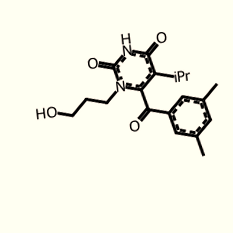 Cc1cc(C)cc(C(=O)c2c(C(C)C)c(=O)[nH]c(=O)n2CCCO)c1